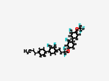 CCCc1ccc(-c2ccc(CCC(F)(F)Oc3ccc(-c4ccc(OC(F)(F)F)c(F)c4)c(F)c3)c(F)c2F)cc1